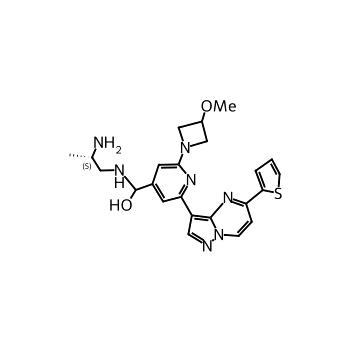 COC1CN(c2cc(C(O)NC[C@H](C)N)cc(-c3cnn4ccc(-c5cccs5)nc34)n2)C1